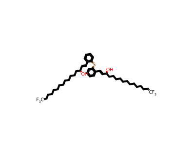 OC(C=Cc1ccccc1Sc1ccccc1C=CC(O)CCCCCCCCCCCCC(F)(F)F)CCCCCCCCCCCCC(F)(F)F